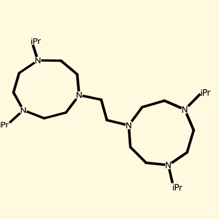 CC(C)N1CCN(CCN2CCN(C(C)C)CCN(C(C)C)CC2)CCN(C(C)C)CC1